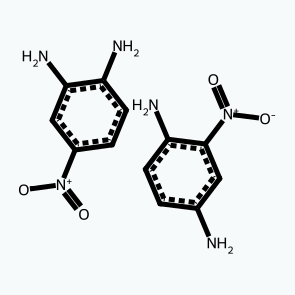 Nc1ccc(N)c([N+](=O)[O-])c1.Nc1ccc([N+](=O)[O-])cc1N